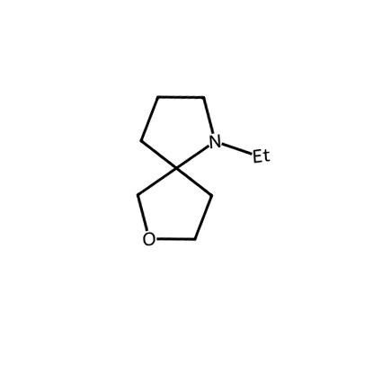 CCN1CCCC12CCOC2